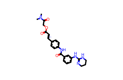 CN(C)C(=O)COC(=O)/C=C/c1ccc(NC(=O)c2cccc(NC3=NCCCN3)c2)cc1